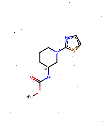 CC(C)(C)OC(=O)N[C@H]1CCCN(c2nccs2)C1